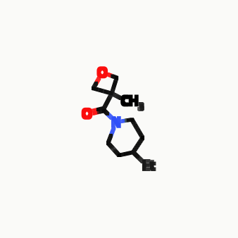 CCC1CCN(C(=O)C2(C)COC2)CC1